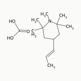 CC=CC1CC(C)(C)N(C)C(C)(C)C1.O=C(O)O